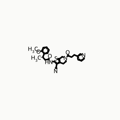 COc1ccccc1[C@@H](C)CC(=O)Nc1sc2c(c1C#N)CCN(C(=O)CCc1cccnc1)C2